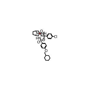 NC1CC2CCC(C1)N2C(=O)[C@@H](NS(=O)(=O)c1ccc(OCC2CCCCC2)cc1)C(F)(F)c1ccc(Cl)cc1